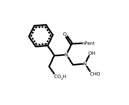 CCCCCC(=O)N(CN(O)C=O)C(CC(=O)O)c1ccccc1